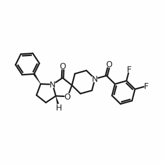 O=C(c1cccc(F)c1F)N1CCC2(CC1)O[C@@H]1CC[C@@H](c3ccccc3)N1C2=O